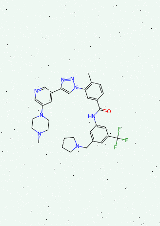 Cc1ccc(C(=O)Nc2cc(CN3CCCC3)cc(C(F)(F)F)c2)cc1-n1cc(-c2cncc(N3CCN(C)CC3)c2)nn1